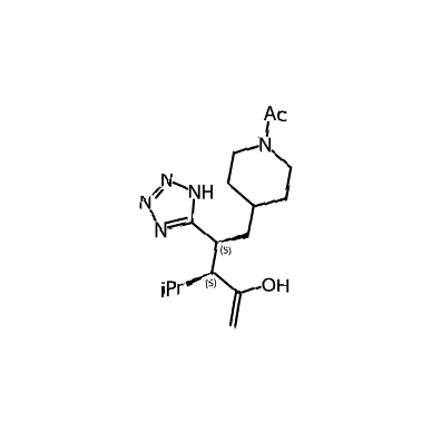 C=C(O)[C@@H](C(C)C)[C@H](CC1CCN(C(C)=O)CC1)c1nnn[nH]1